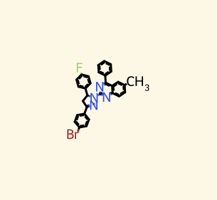 Cc1ccc2nc(N3N=C(c4ccc(Br)cc4)CC3c3ccc(F)cc3)nc(-c3ccccc3)c2c1